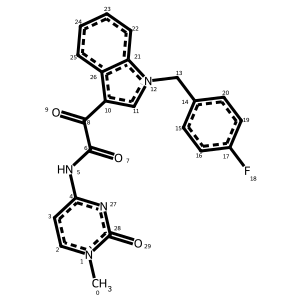 Cn1ccc(NC(=O)C(=O)c2cn(Cc3ccc(F)cc3)c3ccccc23)nc1=O